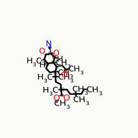 CCCC(C)(C)CC[C@@](C)(CCC(C)(C)[C@]1(C)CC[C@H]2[C@H](C)C(=O)[C@]3(C#N)O[C@@H]3[C@]2(C)[C@H]1CC(C)=O)C(=O)OC